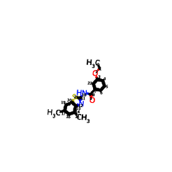 CCOc1cccc(C(=O)Nc2nc3c(C)cc(C)cc3s2)c1